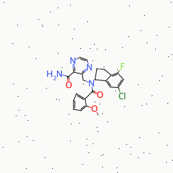 COc1ccccc1C(=O)N(Cc1nccnc1C(N)=O)[C@@H]1CCc2c(F)cc(Cl)cc21